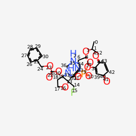 CC(C)OC(=O)[C@@H](C)NP(=O)(OC[C@@]1(CF)OCC[C@]1(OC(=O)OCc1ccccc1)N1C=CCNC1)OC1=CC(=O)C=CC1=O